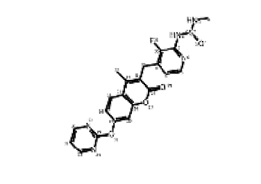 CN[S+]([O-])Nc1nccc(Cc2c(C)c3ccc(Oc4ncccn4)cc3oc2=O)c1F